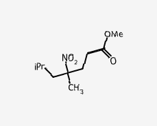 COC(=O)CCC(C)(CC(C)C)[N+](=O)[O-]